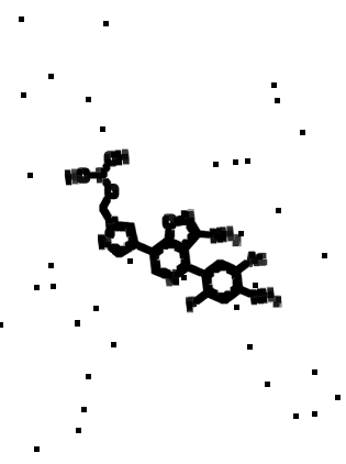 CC(=O)c1cc(-c2ncc(-c3cnn(COP(O)O)c3)c3onc(N)c23)c(F)cc1N